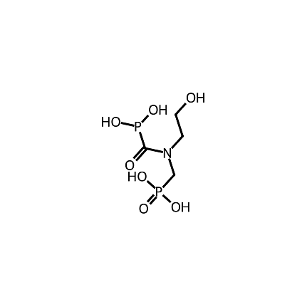 O=C(N(CCO)CP(=O)(O)O)P(O)O